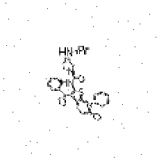 CC(C)N[C@H]1CCN(C(=O)Nc2sc3c(ccc(=O)n3-c3ccccc3)c2C(=O)c2ccccc2)C1